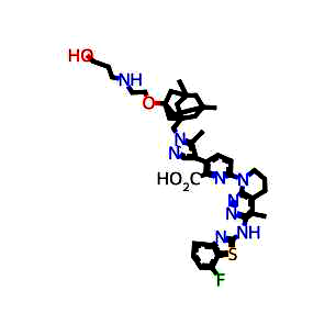 Cc1c(Nc2nc3cccc(F)c3s2)nnc2c1CCCN2c1ccc(-c2cnn(CC34CC5(C)CC(C)(C3)CC(OCCNCCCO)(C5)C4)c2C)c(C(=O)O)n1